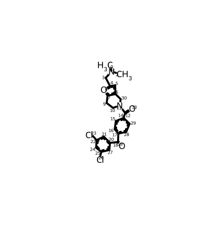 CN(C)Cc1cc2c(o1)CCN(C(=O)c1ccc(C(=O)c3cc(Cl)cc(Cl)c3)cc1)C2